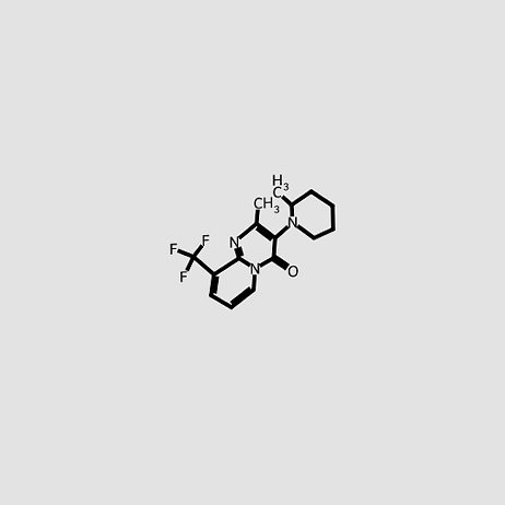 Cc1nc2c(C(F)(F)F)cccn2c(=O)c1N1CCCCC1C